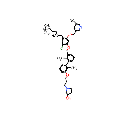 Cc1c(COc2cc(OCc3cncc(C#N)c3)c(C[AsH]CCC[As](C)C)cc2Cl)cccc1-c1cccc(OCCCN2CCC(O)C2)c1C